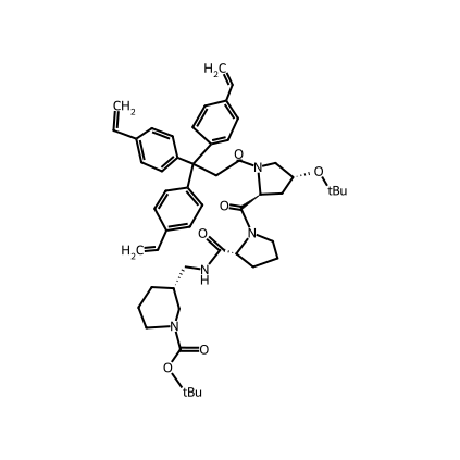 C=Cc1ccc(C(CC(=O)N2C[C@H](OC(C)(C)C)C[C@H]2C(=O)N2CCC[C@@H]2C(=O)NC[C@H]2CCCN(C(=O)OC(C)(C)C)C2)(c2ccc(C=C)cc2)c2ccc(C=C)cc2)cc1